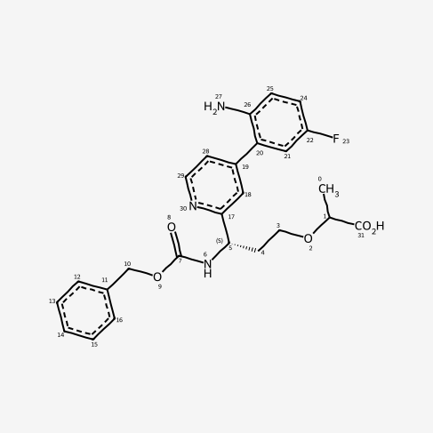 CC(OCC[C@H](NC(=O)OCc1ccccc1)c1cc(-c2cc(F)ccc2N)ccn1)C(=O)O